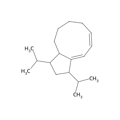 CC(C)C1CC(C(C)C)C2CCCCC=CC=C12